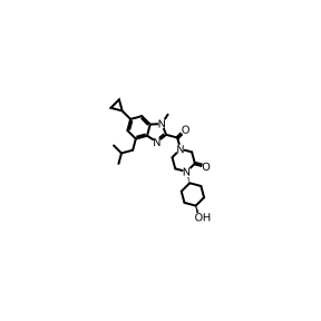 CC(C)Cc1cc(C2CC2)cc2c1nc(C(=O)N1CCN([C@H]3CC[C@H](O)CC3)C(=O)C1)n2C